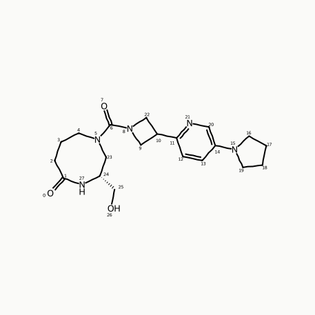 O=C1CCCN(C(=O)N2CC(c3ccc(N4CCCC4)cn3)C2)C[C@H](CO)N1